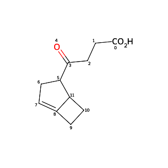 O=C(O)CCC(=O)C1CC=C2CCC21